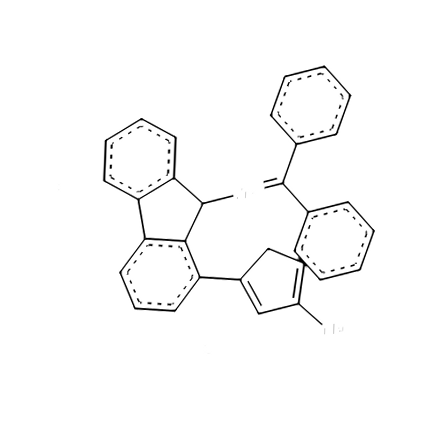 CCCCC1=CCC(c2cccc3c2[CH]([Zr+2]=[C](c2ccccc2)c2ccccc2)c2ccccc2-3)=C1.[Cl-].[Cl-]